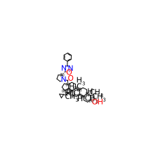 CC1([C@@H]2CC[C@]3(C(=O)N4CCC[C@@H]4c4nc(-c5ccccc5)no4)CC[C@]4(C)[C@H](CC[C@@H]5[C@@]6(C)CC[C@H](O)C(C)(C)[C@@H]6CC[C@]54C)[C@@H]23)CC1